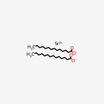 CCCCCCCCCCCCCC(=O)[O-].CCCCCCCCCCCCCC(=O)[O-].[Sr+2]